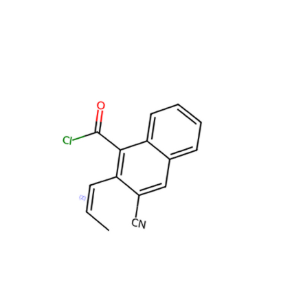 C/C=C\c1c(C#N)cc2ccccc2c1C(=O)Cl